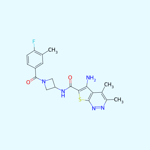 Cc1cc(C(=O)N2CC(NC(=O)c3sc4nnc(C)c(C)c4c3N)C2)ccc1F